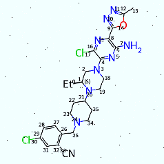 CC[C@H]1CN(c2nc(N)c(-c3nnc(C)o3)nc2Cl)CCN1C1CCN(Cc2ccc(Cl)cc2C#N)CC1